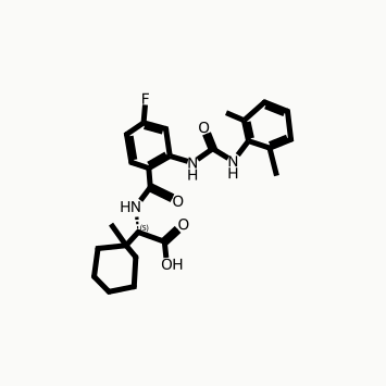 Cc1cccc(C)c1NC(=O)Nc1cc(F)ccc1C(=O)N[C@H](C(=O)O)C1(C)CCCCC1